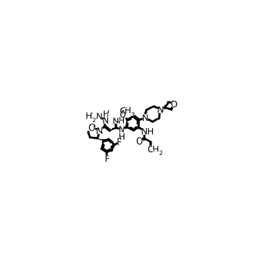 C=CC(=O)Nc1cc(NC(=N)/C=C(\NN)N2OCC[C@@H]2c2cc(F)cc(F)c2)c(OC)cc1N1CCN(C2COC2)CC1